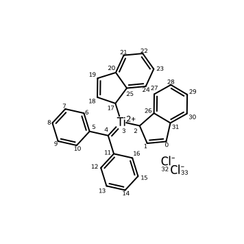 C1=C[CH]([Ti+2](=[C](c2ccccc2)c2ccccc2)[CH]2C=Cc3ccccc32)c2ccccc21.[Cl-].[Cl-]